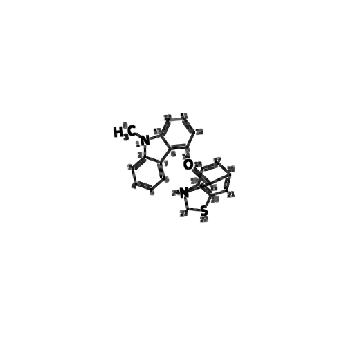 Cn1c2ccccc2c2ccccc21.O=c1c2ccc3c(c2)SCn13